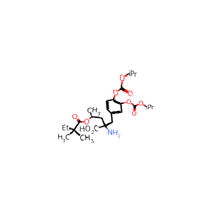 CCC(C)(C)C(=O)O[C@@H](C)CC(N)(Cc1ccc(OC(=O)OC(C)C)c(OC(=O)OC(C)C)c1)C(=O)O